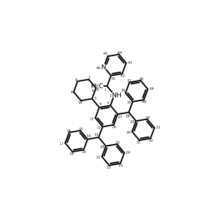 CC(Nc1c(C2CCCCC2)cc(C(c2ccccc2)c2ccccc2)cc1C(c1ccccc1)c1ccccc1)c1ccccn1